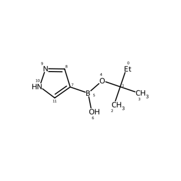 CCC(C)(C)OB(O)c1cn[nH]c1